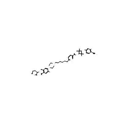 CC1(C)C(NC(=O)c2ccc(CCCCCCN3CCN(c4cc5c(cc4F)C(=O)N(C4CCC(=O)NC4=O)C5=O)CC3)nc2)C(C)(C)C1Oc1ccc(C#N)c(Cl)c1